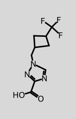 O=C(O)c1ncn(CC2CC(C(F)(F)F)C2)n1